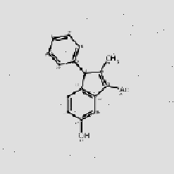 CC(=O)C1=C(C)C(c2ccccc2)c2ccc(O)cc21